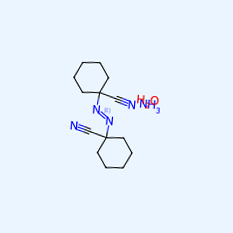 N.N#CC1(/N=N/C2(C#N)CCCCC2)CCCCC1.O